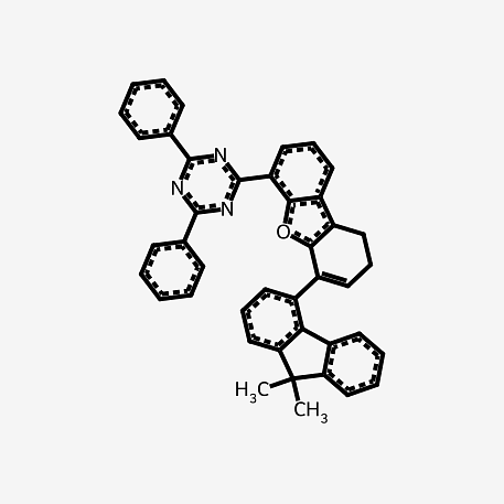 CC1(C)c2ccccc2-c2c(C3=CCCc4c3oc3c(-c5nc(-c6ccccc6)nc(-c6ccccc6)n5)cccc43)cccc21